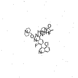 C=C(F)C(=O)N1CC[C@@H]2[C@H]1CN2c1nc(OCC23CCCN2CCC3)nc2c(F)c(-c3cncc4cccc(Cl)c34)ccc12